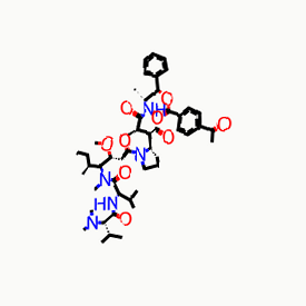 CC[C@H](C)[C@@H]([C@@H](CC(=O)N1CCC[C@H]1[C@H](C=O)[C@@H](C)C(=O)N[C@H](C)C(OC(=O)c1ccc(C(C)=O)cc1)c1ccccc1)OC)N(C)C(=O)[C@@H](NC(=O)[C@H](C(C)C)N(C)C)C(C)C